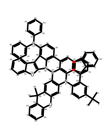 CC(C)(C)c1ccc(N2c3cc4c(cc3B3c5c(cc6c(sc7ccccc76)c52)-c2ccc(N(c5ccccc5)c5ccccc5)c5c6c7ccccc7oc6n3c25)C(C)(C)c2ccccc2O4)c(-c2ccccc2)c1